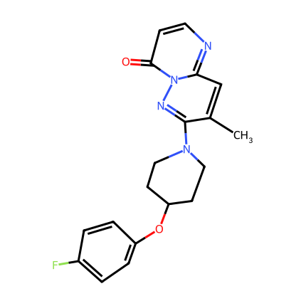 Cc1cc2nccc(=O)n2nc1N1CCC(Oc2ccc(F)cc2)CC1